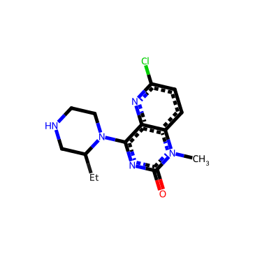 CCC1CNCCN1c1nc(=O)n(C)c2ccc(Cl)nc12